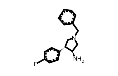 N[C@@H]1CN(Cc2ccccc2)C[C@H]1c1ccc(F)cc1